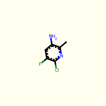 Cc1nc(Cl)c(F)cc1N